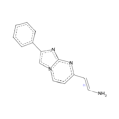 N/C=C/c1ccn2cc(-c3ccccc3)nc2n1